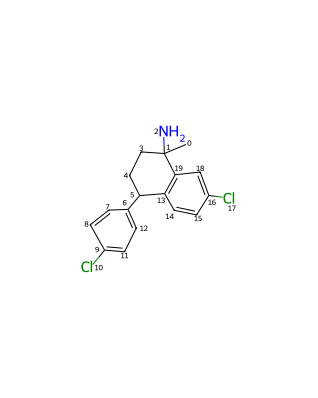 CC1(N)CCC(c2ccc(Cl)cc2)c2ccc(Cl)cc21